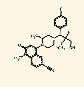 C[C@@H]1CN(c2cc(=O)n(C)c3ccc(C#N)nc23)[C@@H](C)CN1C(c1ccc(F)cc1)C(F)(F)CO